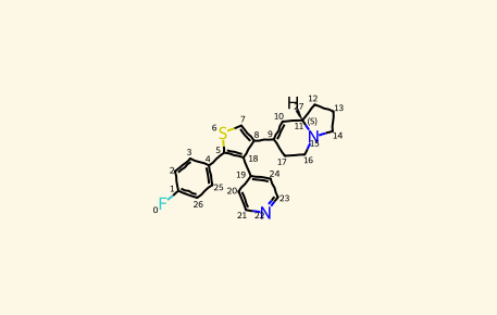 Fc1ccc(-c2scc(C3=C[C@@H]4CCCN4CC3)c2-c2ccncc2)cc1